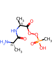 C[C@H](N)C(=O)N[C@@H](C)C(=O)OOP(C)(=O)O